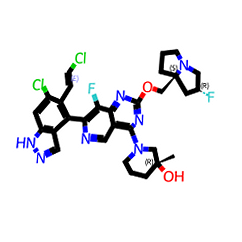 C[C@@]1(O)CCCN(c2nc(OC[C@@]34CCCN3C[C@H](F)C4)nc3c(F)c(-c4c(/C=C/Cl)c(Cl)cc5[nH]ncc45)ncc23)C1